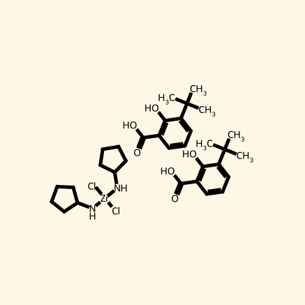 CC(C)(C)c1cccc(C(=O)O)c1O.CC(C)(C)c1cccc(C(=O)O)c1O.[Cl][Zr]([Cl])([NH]C1CCCC1)[NH]C1CCCC1